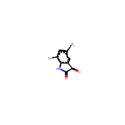 Cc1cc(C(F)(F)F)cc2c1NC(=O)C2=O